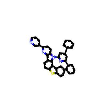 c1ccc(-c2cc(-c3ccccc3)nc(-n3c4ccc(-c5cccnc5)nc4c4ccc5sc6ccccc6c5c43)c2)cc1